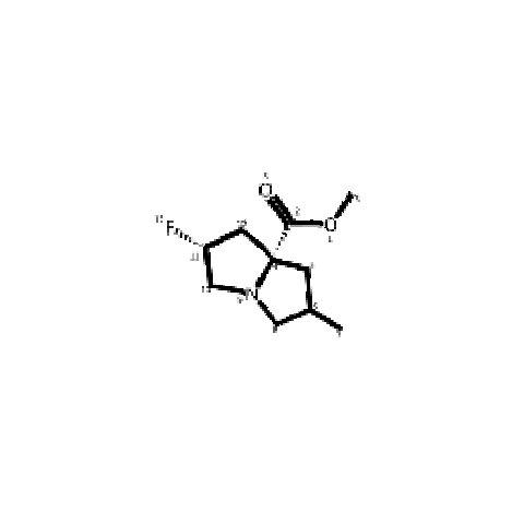 COC(=O)[C@]12CC(C)CN1C[C@H](F)C2